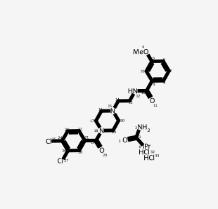 CC(C)C(N)=O.COc1cccc(C(=O)NCCN2CCN(C(=O)c3ccc(Cl)c(Cl)c3)CC2)c1.Cl.Cl